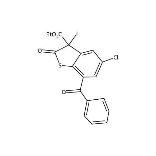 CCOC(=O)C1(I)C(=O)Sc2c(C(=O)c3ccccc3)cc(Cl)cc21